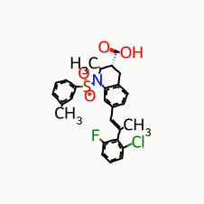 C/C(=C\c1ccc2c(c1)N(S(=O)(=O)c1cccc(C)c1)[C@H](C)[C@H](C(=O)O)C2)c1c(F)cccc1Cl